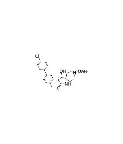 CON1CCC2(CC1)NC(=O)C(c1cc(-c3ccc(Cl)cc3)ccc1C)C2O